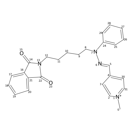 C[n+]1ccc(/C=N/N(CCCCCN2C(=O)c3ccccc3C2=O)c2ccccc2)cc1